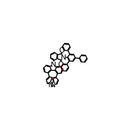 O=C1c2cccc(-n3c4cccc(-c5ccncc5)c4c4c(-c5ccncc5)cccc43)c2C(=O)N1c1c(-c2ccccc2)cc(-c2ccccc2)cc1-c1ccccc1